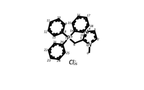 Cn1ccnc1C[P+](c1ccccc1)(c1ccccc1)c1ccccc1.[Cl-]